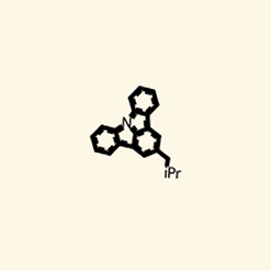 CC(C)Cc1cc2c3ccccc3n3c4ccccc4c(c1)c23